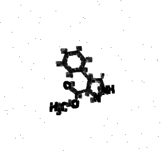 COC(=O)c1n[nH]cc1-c1ccccc1